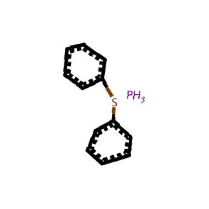 P.c1ccc(Sc2ccccc2)cc1